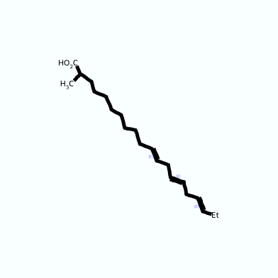 CC/C=C/C/C=C/C/C=C/CCCCCCCCC(C)C(=O)O